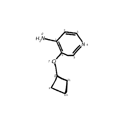 Nc1ccncc1OC1CCC1